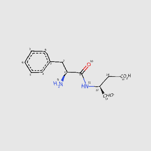 N[C@@H](Cc1ccccc1)C(=O)N[C@H]([C]=O)CC(=O)O